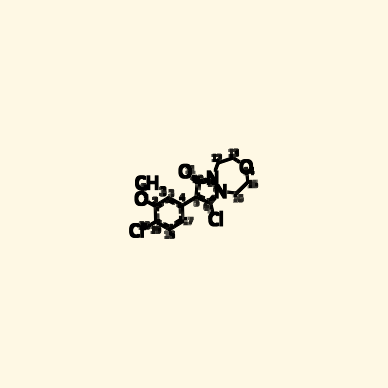 COc1cc(-c2c(Cl)n3n(c2=O)CCOCC3)ccc1Cl